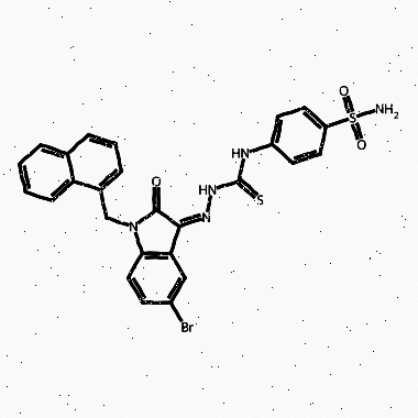 NS(=O)(=O)c1ccc(NC(=S)NN=C2C(=O)N(Cc3cccc4ccccc34)c3ccc(Br)cc32)cc1